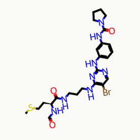 CSCC[C@H](NC=O)C(=O)NCCCNc1nc(Nc2cccc(NC(=O)N3CCCC3)c2)ncc1Br